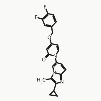 Cc1c(C2CC2)nc2ccc(-n3ccc(OCc4ccc(F)c(F)c4)cc3=O)cn12